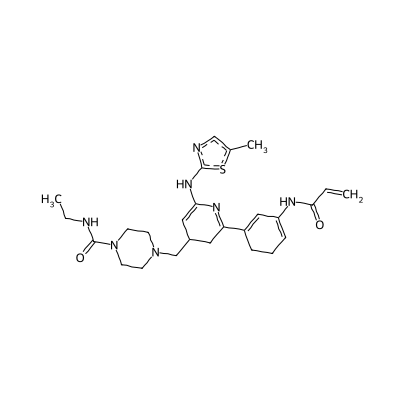 C=CC(=O)NC1=CCCC(C2=NC(Nc3ncc(C)s3)=CC(CN3CCN(C(=O)NCC)CC3)C2)=C1